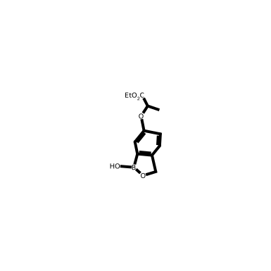 CCOC(=O)C(C)Oc1ccc2c(c1)B(O)OC2